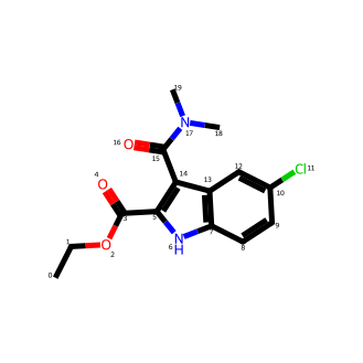 CCOC(=O)c1[nH]c2ccc(Cl)cc2c1C(=O)N(C)C